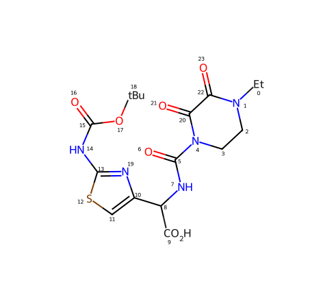 CCN1CCN(C(=O)NC(C(=O)O)c2csc(NC(=O)OC(C)(C)C)n2)C(=O)C1=O